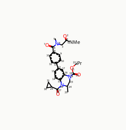 CNC(=O)CN(C)C(=O)c1ccc(-c2ccc3c(c2)N(C(=O)OC(C)C)CC(C)N3C(=O)C2CC2)cc1